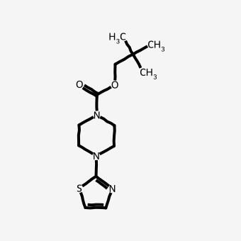 CC(C)(C)COC(=O)N1CCN(c2nccs2)CC1